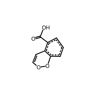 O=C(O)c1cccc2c1C=COO2